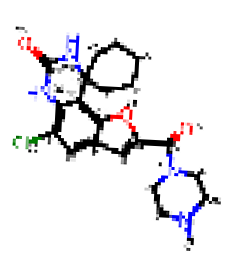 CN1CCN(C(=O)c2cc3cc(Cl)c4c(c3o2)C2(CCCCC2)NC(=O)N4)CC1